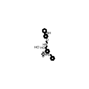 CS(=O)(=O)Nc1cc([C@@H](O)CNCCOc2ccc3c4c([nH]c3c2)CCCC4)ccc1OCc1ccccc1.Cl